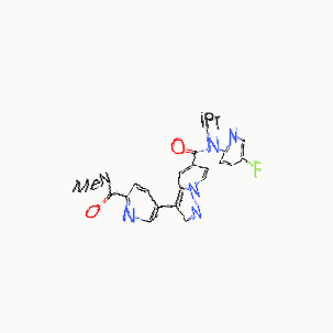 CNC(=O)c1ccc(-c2cnn3ccc(C(=O)N(c4ccc(F)cn4)C(C)C)cc23)cn1